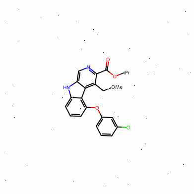 COCc1c(C(=O)OC(C)C)ncc2[nH]c3cccc(Oc4cccc(Cl)c4)c3c12